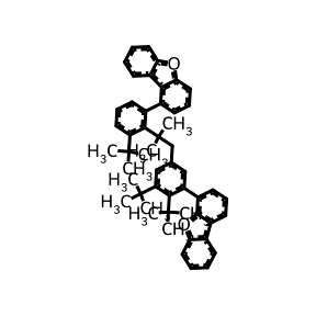 CC(C)(C)c1cc(CC(C)(C)c2c(-c3cccc4oc5ccccc5c34)cccc2C(C)(C)C)cc(-c2cccc3c2oc2ccccc23)c1C(C)(C)C